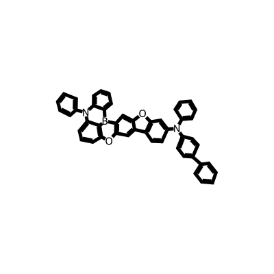 c1ccc(-c2ccc(N(c3ccccc3)c3ccc4c(c3)oc3cc5c(cc34)Oc3cccc4c3B5c3ccccc3N4c3ccccc3)cc2)cc1